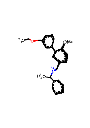 COc1ccc(CN[C@H](C)c2ccccc2)cc1-c1cccc(OCC(F)(F)F)c1